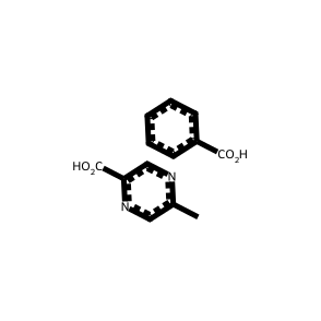 Cc1cnc(C(=O)O)cn1.O=C(O)c1ccccc1